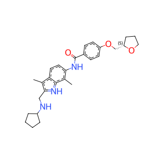 Cc1c(CNC2CCCC2)[nH]c2c(C)c(NC(=O)c3ccc(OC[C@@H]4CCCO4)cc3)ccc12